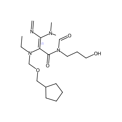 C=N/C(=C(/C(=O)N(C=O)CCCO)N(CC)COCC1CCCC1)N(C)C